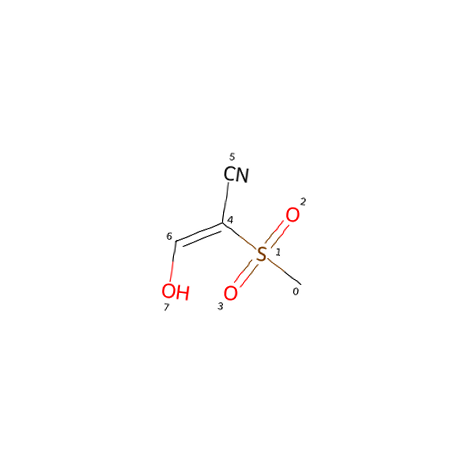 CS(=O)(=O)C(C#N)=CO